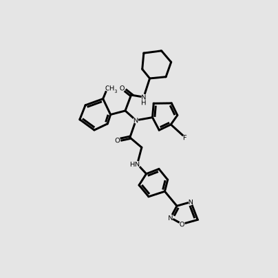 Cc1ccccc1C(C(=O)NC1CCCCC1)N(C(=O)CNc1ccc(-c2ncon2)cc1)c1cccc(F)c1